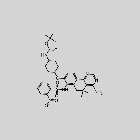 CC(C)(C)OC(=O)NC1CCC(Oc2ccc3c(c2NS(=O)(=O)c2ccccc2[N+](=O)[O-])CC(C)(C)c2c(N)ncnc2-3)CC1